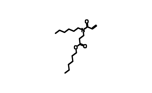 C=CC(=O)N(CCCCCC)CCC(=O)OCCCCCC